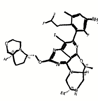 CC[C@@H]1CN2c3nc(OC[C@@H]4CC[C@H]5COCCN54)nc4c(F)c(-c5c(F)c(N)cc(C)c5CC(F)F)nc(c34)O[C@@H](C)[C@@H]2CN1